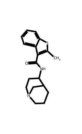 Cc1sc2ccccc2c1C(=O)NC1CCN2CCCC1C2